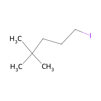 CC(C)(C)CCCI